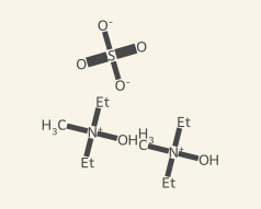 CC[N+](C)(O)CC.CC[N+](C)(O)CC.O=S(=O)([O-])[O-]